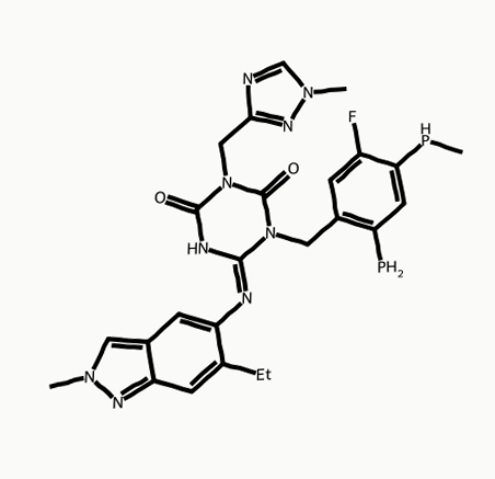 CCc1cc2nn(C)cc2cc1/N=c1\[nH]c(=O)n(Cc2ncn(C)n2)c(=O)n1Cc1cc(F)c(PC)cc1P